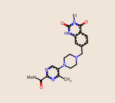 CCn1c(=O)[nH]c2cc(CN3CCN(c4cnc(C(=O)NC)nc4C)CC3)ccc2c1=O